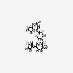 Cc1nc2c(c(N3CCC(Cn4nc(-n5cccn5)ccc4=O)CC3)n1)CCC2